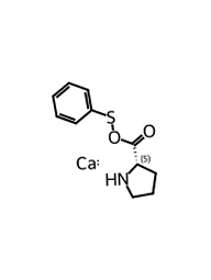 O=C(OSc1ccccc1)[C@@H]1CCCN1.[Ca]